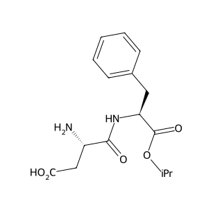 CC(C)OC(=O)[C@H](Cc1ccccc1)NC(=O)[C@@H](N)CC(=O)O